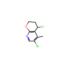 Cc1c(Br)cnc2c1C(Cl)CCO2